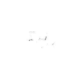 O=C(O)N1CCN2C(=O)CCC2C1=O